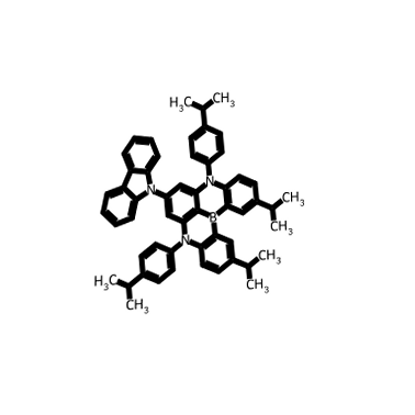 CC(C)c1ccc(N2c3ccc(C(C)C)cc3B3c4cc(C(C)C)ccc4N(c4ccc(C(C)C)cc4)c4cc(-n5c6ccccc6c6ccccc65)cc2c43)cc1